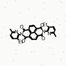 CCc1ccc(C)nc1N1C(=O)c2ccc3c4c(ccc(c24)C1=O)C(=O)N(c1nc(C)ccc1CC)C3=O